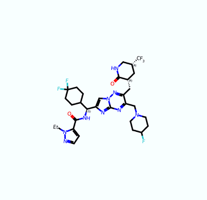 CCn1nccc1C(=O)N[C@H](c1cn2nc(C[C@H]3C[C@@H](C(F)(F)F)CNC3=O)c(CN3CCC(F)CC3)nc2n1)C1CCC(F)(F)CC1